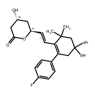 CCCC1(CCC)CC(c2ccc(F)cc2)=C(/C=C/[C@@H]2C[C@@H](O)CC(=O)O2)C(C)(C)C1